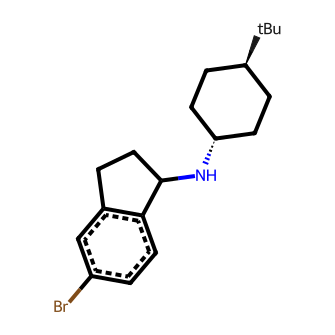 CC(C)(C)[C@H]1CC[C@H](NC2CCc3cc(Br)ccc32)CC1